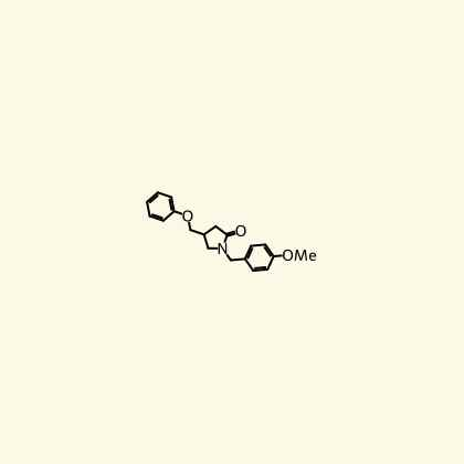 COc1ccc(CN2CC(COc3ccccc3)CC2=O)cc1